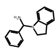 NC(c1ccccc1)N1CCc2ccccc21